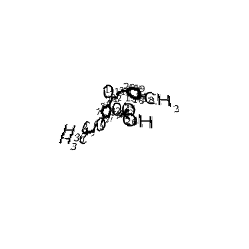 CC(C)=CCOc1ccc(C(=O)C=Cc2ccc(C)cc2)c(OCC(=O)O)c1